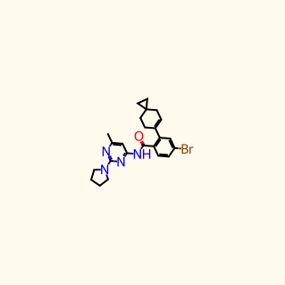 Cc1cc(NC(=O)c2ccc(Br)cc2C2=CCC3(CC2)CC3)nc(N2CCCC2)n1